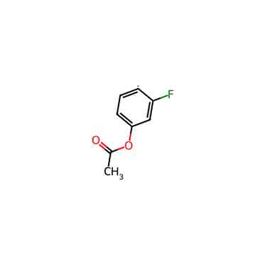 CC(=O)Oc1cc[c]c(F)c1